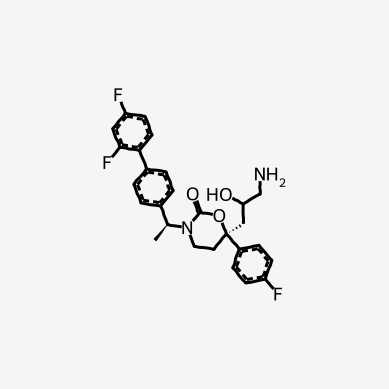 C[C@@H](c1ccc(-c2ccc(F)cc2F)cc1)N1CC[C@](CC(O)CN)(c2ccc(F)cc2)OC1=O